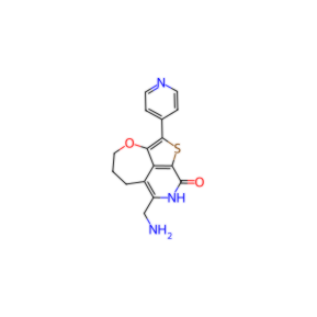 NCc1[nH]c(=O)c2sc(-c3ccncc3)c3c2c1CCCO3